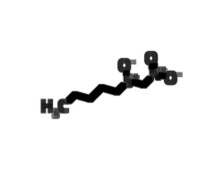 CCCCC[S+]([O-])C[N+](=O)[O-]